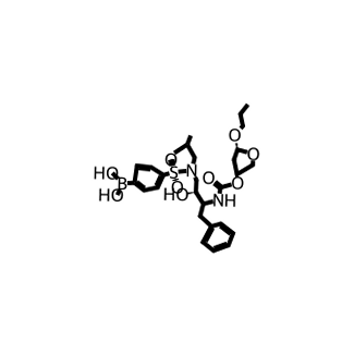 CCCO[C@H]1C[C@@H](OC(=O)NC(Cc2ccccc2)[C@H](O)CN(CC(C)C)S(=O)(=O)c2ccc(B(O)O)cc2)CO1